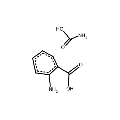 NC(=O)O.Nc1ccccc1C(=O)O